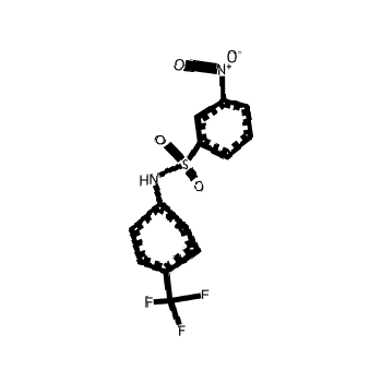 O=[N+]([O-])c1cccc(S(=O)(=O)Nc2ccc(C(F)(F)F)cc2)c1